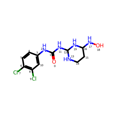 O=C(Nc1ccc(Cl)c(Cl)c1)NC1NCCC(NO)N1